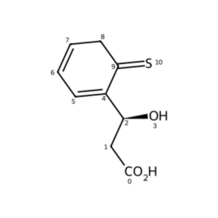 O=C(O)C[C@H](O)C1=CC=CCC1=S